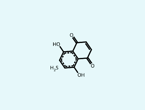 O=C1C=CC(=O)c2c(O)ccc(O)c21.S